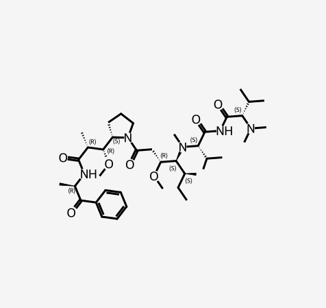 CC[C@H](C)[C@@H]([C@@H](CC(=O)N1CCC[C@H]1[C@H](OC)[C@@H](C)C(=O)N[C@H](C)C(=O)c1ccccc1)OC)N(C)[C@H](C(=O)NC(=O)[C@H](C(C)C)N(C)C)C(C)C